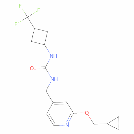 O=C(NCc1ccnc(OCC2CC2)c1)NC1CC(C(F)(F)F)C1